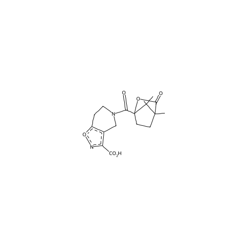 CC12CCC(C(=O)N3CCc4onc(C(=O)O)c4C3)(OC1=O)C2(C)C